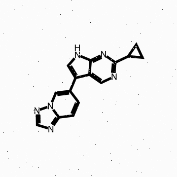 c1nc2ccc(-c3c[nH]c4nc(C5CC5)ncc34)cn2n1